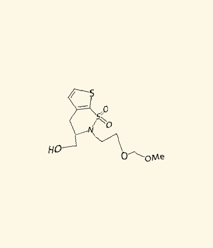 COCOCCN1C(CO)Cc2ccsc2S1(=O)=O